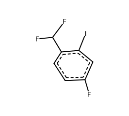 Fc1ccc(C(F)F)c(I)c1